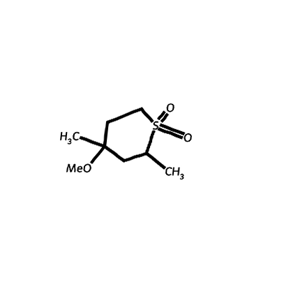 COC1(C)CCS(=O)(=O)C(C)C1